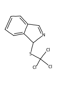 ClC(Cl)(Cl)SC1N=Cc2ccccc21